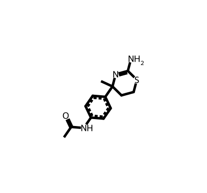 CC(=O)Nc1ccc(C2(C)CCSC(N)=N2)cc1